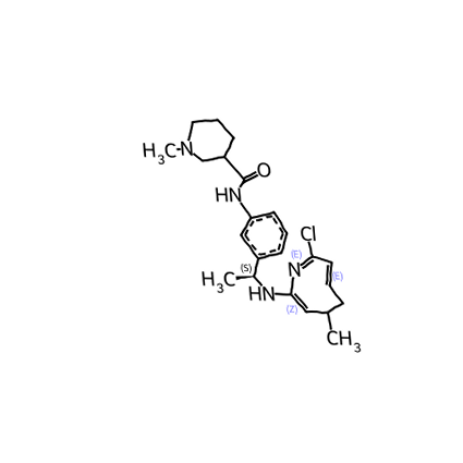 CC1\C=C(N[C@@H](C)c2cccc(NC(=O)C3CCCN(C)C3)c2)/N=C(Cl)\C=C\C1